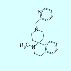 CN1CCc2ccccc2C12CCN(Cc1ccccn1)CC2